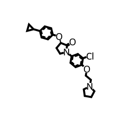 O=C1[C@H](Oc2ccc(C3CC3)cc2)CCN1c1ccc(OCCN2CCCC2)c(Cl)c1